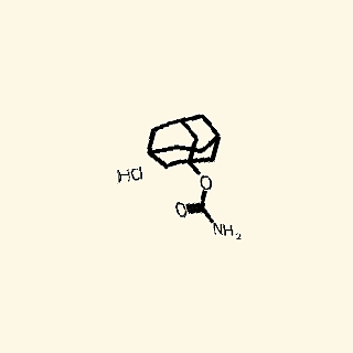 Cl.NC(=O)OC12CC3CC(CC(C3)C1)C2